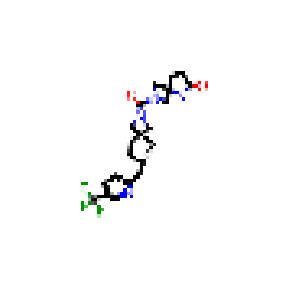 O=C1CCC2(CN(C(=O)N3CC4(CCC(Cc5ccc(C(F)(F)F)cn5)CC4)C3)C2)N1